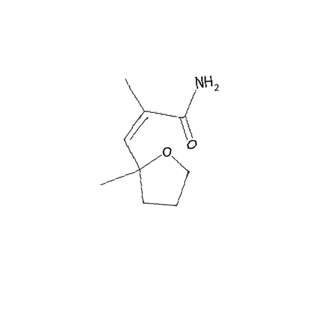 CC(=CC1(C)CCCO1)C(N)=O